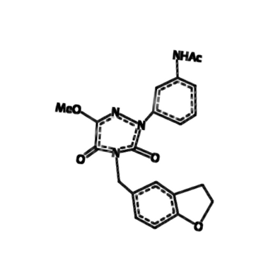 COc1nn(-c2cccc(NC(C)=O)c2)c(=O)n(Cc2ccc3c(c2)CCO3)c1=O